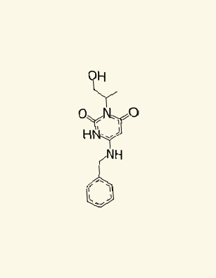 CC(CO)n1c(=O)cc(NCc2ccccc2)[nH]c1=O